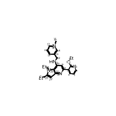 CCOc1ncccc1-c1cc(NCC2=CN(C)CC=C2)c2c(cc(CC)n2CC)n1